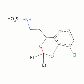 CCC1(CC)Oc2c(Cl)cccc2C(CCNS(=O)(=O)O)O1